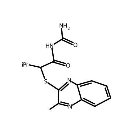 Cc1nc2ccccc2nc1SC(C(=O)NC(N)=O)C(C)C